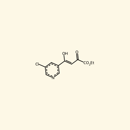 CCOC(=O)C(=O)/C=C(\O)c1cncc(Cl)c1